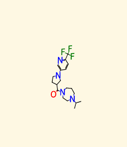 CC(C)N1CCCN(C(=O)C2CCN(c3ccc(C(F)(F)F)nc3)C2)CC1